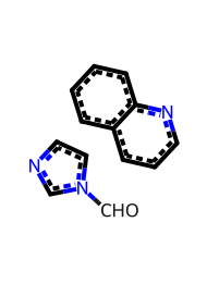 O=Cn1ccnc1.c1ccc2ncccc2c1